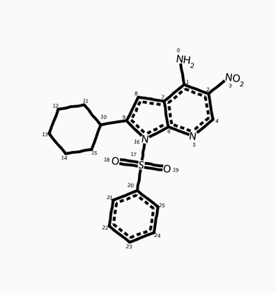 Nc1c([N+](=O)[O-])cnc2c1cc(C1CCCCC1)n2S(=O)(=O)c1ccccc1